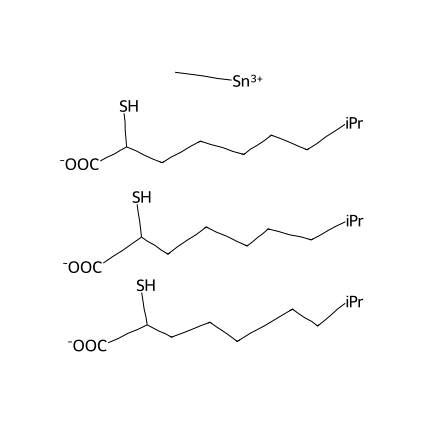 CC(C)CCCCCC(S)C(=O)[O-].CC(C)CCCCCC(S)C(=O)[O-].CC(C)CCCCCC(S)C(=O)[O-].[CH3][Sn+3]